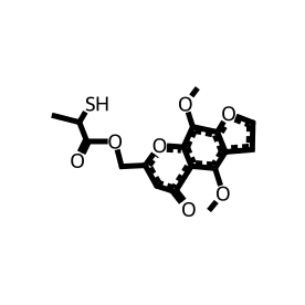 COc1c2occc2c(OC)c2c(=O)cc(COC(=O)C(C)S)oc12